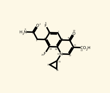 NC(=O)Cc1c(F)cc2c(=O)c(C(=O)O)cn(C3CC3)c2c1F